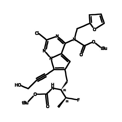 C[C@H](F)[C@@H](Cc1cc2c(N(Cc3ccco3)C(=O)OC(C)(C)C)nc(Cl)nn2c1C#CCO)NC(=O)OC(C)(C)C